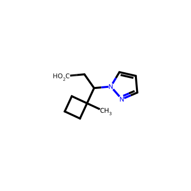 CC1(C(CC(=O)O)n2cccn2)CCC1